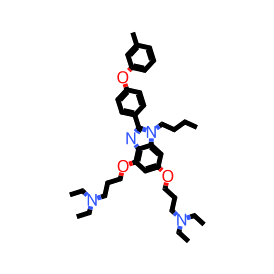 CCCCn1c(-c2ccc(Oc3cccc(C)c3)cc2)nc2c(OCCCN(CC)CC)cc(OCCCN(CC)CC)cc21